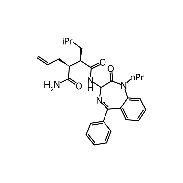 C=CC[C@H](C(N)=O)[C@@H](CC(C)C)C(=O)NC1N=C(c2ccccc2)c2ccccc2N(CCC)C1=O